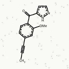 CC#Cc1ccc(C(=O)c2ccn[nH]2)c(OC)c1